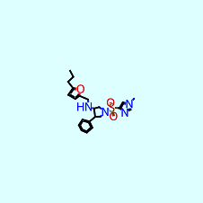 CCCc1ccc(CNC2CN(S(=O)(=O)c3cn(C)cn3)CC2c2ccccc2)o1